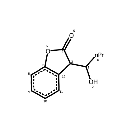 CCCC(O)C1C(=O)Oc2ccccc21